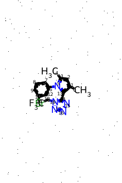 Cc1[c]c(C)n(-c2cccc(Br)c2)c1-c1nnnn1CC(F)(F)F